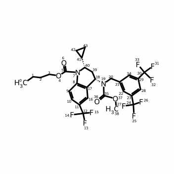 CCCCOC(=O)N1c2ccc(C(F)(F)F)cc2[C@@H](N(Cc2cc(C(F)(F)F)cc(C(F)(F)F)c2)C(=O)OC)C[C@H]1C1CC1